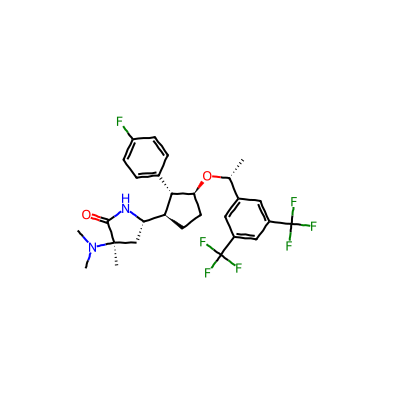 C[C@@H](O[C@H]1CC[C@@H]([C@@H]2C[C@@](C)(N(C)C)C(=O)N2)[C@@H]1c1ccc(F)cc1)c1cc(C(F)(F)F)cc(C(F)(F)F)c1